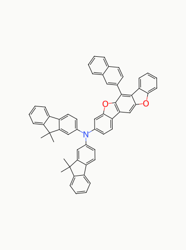 CC1(C)c2ccccc2-c2ccc(N(c3ccc4c(c3)C(C)(C)c3ccccc3-4)c3ccc4c(c3)oc3c(-c5ccc6ccccc6c5)c5c(cc34)oc3ccccc35)cc21